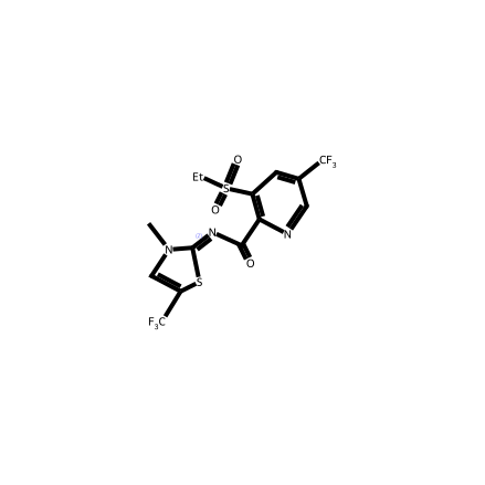 CCS(=O)(=O)c1cc(C(F)(F)F)cnc1C(=O)/N=c1\sc(C(F)(F)F)cn1C